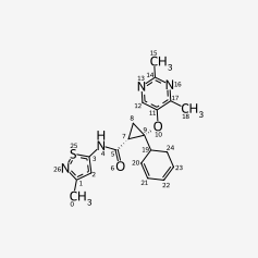 Cc1cc(NC(=O)[C@@H]2C[C@@]2(Oc2cnc(C)nc2C)C2C=CC=CC2)sn1